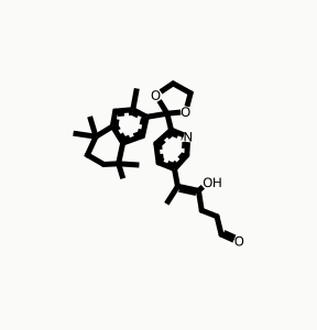 C/C(=C(/O)CCC=O)c1ccc(C2(c3cc4c(cc3C)C(C)(C)CCC4(C)C)OCCO2)nc1